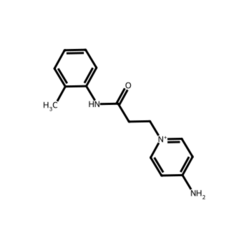 Cc1ccccc1NC(=O)CC[n+]1ccc(N)cc1